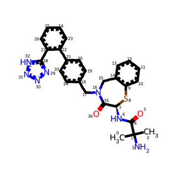 CC(C)(N)C(=O)N[C@@H]1Sc2ccccc2CN(Cc2ccc(-c3ccccc3-c3nnn[nH]3)cc2)C1=O